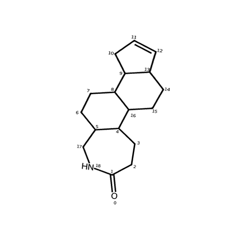 O=C1CCC2C(CCC3C4CC=CC4CCC23)CN1